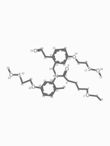 CCOCCCCC(=O)N(Cc1cc(OCCSOC)ccc1CC=O)c1cc(OCCSOC)ccc1C